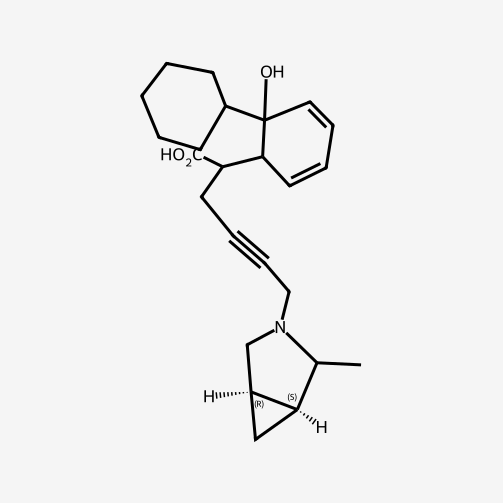 CC1[C@H]2C[C@H]2CN1CC#CCC(C(=O)O)C1C=CC=CC1(O)C1CCCCC1